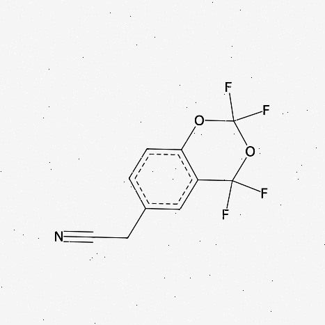 N#CCc1ccc2c(c1)C(F)(F)OC(F)(F)O2